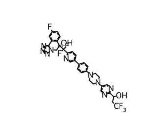 OC(CC(F)(F)F)c1ncc(N2CCN(c3ccc(-c4ccc(C(F)(F)[C@]5(O)Cn6nnnc6-c6cc(F)ccc65)nc4)cc3)CC2)cn1